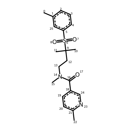 Cc1cccc(S(=O)(=O)C(C)(C)CCN(C)C(=O)c2ccc(C)nc2)c1